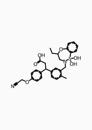 CCC1CN(Cc2cc(C(CC(=O)O)c3ccc(OCC#N)cc3)ccc2C)S(O)(O)c2ccccc2O1